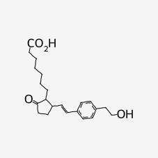 O=C(O)CCCCCCC1C(=O)CCC1C=Cc1ccc(CCO)cc1